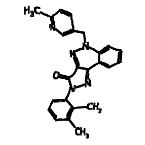 Cc1ccc(Cn2nc3c(=O)n(-c4cccc(C)c4C)nc-3c3ccccc32)cn1